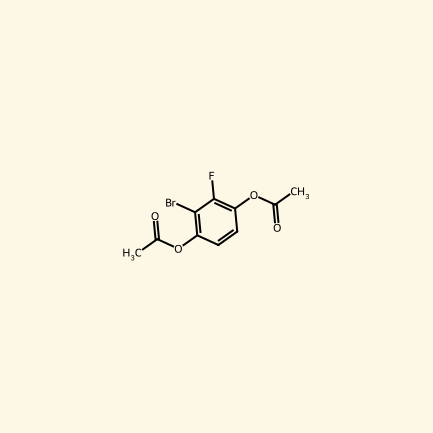 CC(=O)Oc1ccc(OC(C)=O)c(Br)c1F